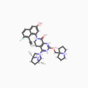 C#Cc1c(F)ccc2cc(O)cc(N3CCc4c(nc(OCC56CCCN5CCC6)nc4N4C[C@H]5CC[C@@H](C4)N5)C3=O)c12